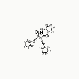 O=C1C(C#Cc2ccccc2)=C(C#Cc2ccccc2)C(=O)N1Cc1ccccc1